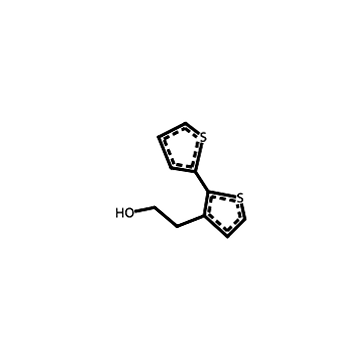 OCCc1ccsc1-c1cccs1